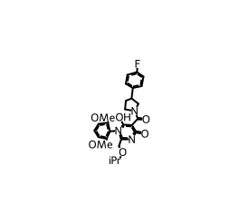 COc1cccc(OC)c1-n1c(COC(C)C)nc(=O)c(C(=O)N2CCC(c3ccc(F)cc3)C2)c1O